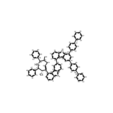 CC[C@H]1/C(c2cccc3sc4ccc(-c5cccc6oc7c(-c8ccc(-c9ccccc9)cc8)cc(-c8ccc(-c9ccccc9)cc8)cc7c56)cc4c23)=C/CC(C)C(c2ccccc2)NC1c1ccccc1